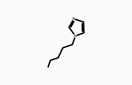 CCCCCn1ccnc1